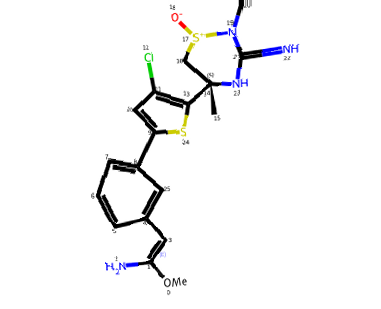 CO/C(N)=C/c1cccc(-c2cc(Cl)c([C@]3(C)C[S+]([O-])N(C)C(=N)N3)s2)c1